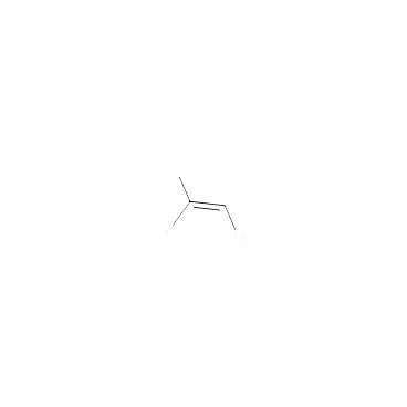 OC(Br)=CBr